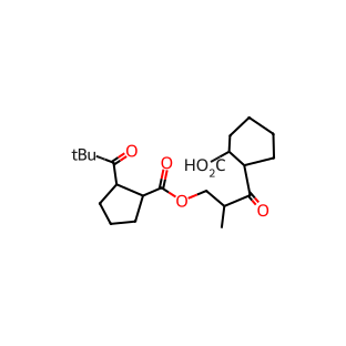 CC(COC(=O)C1CCCC1C(=O)C(C)(C)C)C(=O)C1CCCCC1C(=O)O